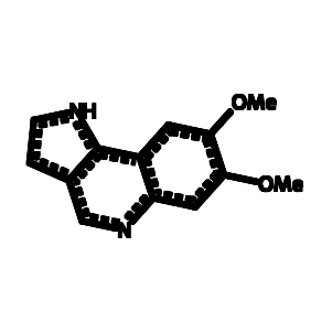 COc1cc2ncc3cc[nH]c3c2cc1OC